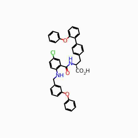 O=C(N[C@@H](Cc1ccc(-c2ccccc2Oc2ccccc2)cc1)C(=O)O)c1cc(Cl)ccc1NCc1cccc(Oc2ccccc2)c1